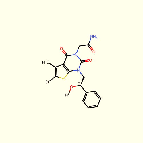 CCc1sc2c(c1C)c(=O)n(CC(N)=O)c(=O)n2C[C@H](OC(C)C)c1ccccc1